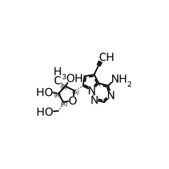 C#Cc1cc([C@@H]2O[C@H](CO)[C@@H](O)[C@@]2(C)O)n2ncnc(N)c12